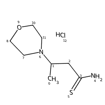 CC(CC(N)=S)N1CCOCC1.Cl